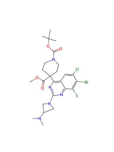 COC(=O)C1(c2nc(N3CC(N(C)C)C3)nc3c(F)c(Br)c(Cl)cc23)CCN(C(=O)OC(C)(C)C)CC1